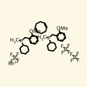 C1=CCCC=CCC1.COc1ccccc1CP(C)C1CCCCC1.COc1ccccc1CP(C)C1CCCCC1.F[B-](F)(F)F.F[B-](F)(F)F.F[B-](F)(F)F.[Rh+3]